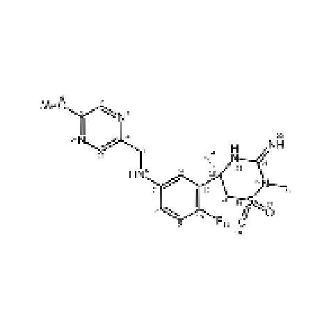 COc1cnc(CNc2ccc(F)c([C@]3(C)CS(=O)(=O)N(C)C(=N)N3)c2)cn1